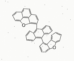 c1ccc2c(c1)oc1cccc(-c3c4ccccc4c(-c4ccc5ccc6cccc7oc4c5c67)c4ccccc34)c12